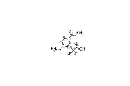 CCC(=O)c1ccc(CN)cc1.O=C(O)C(F)(F)F